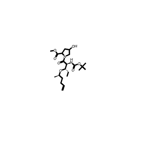 C=CCC[C@@H](C)O[C@@H](CC)[C@H](NC(=O)OC(C)(C)C)C(=O)N1CC(O)CC1C(=O)OC